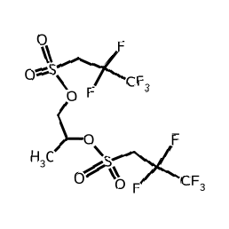 CC(COS(=O)(=O)CC(F)(F)C(F)(F)F)OS(=O)(=O)CC(F)(F)C(F)(F)F